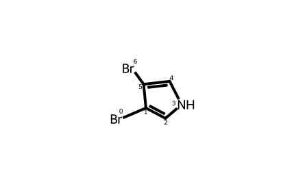 Brc1c[nH]cc1Br